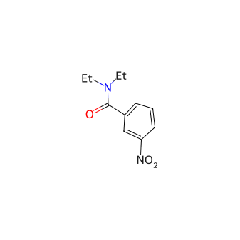 CCN(CC)C(=O)c1cccc([N+](=O)[O-])c1